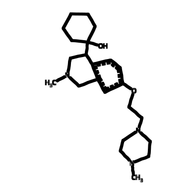 CN1CCN(CCOc2ccc3c(c2)CN(C)CC3C2(O)CCCCC2)CC1